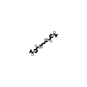 C=C(C)C(=O)N1CCC(C(=O)NCCCCCCNC(=O)C2CCN(C(=O)C(=C)C)C2)C1